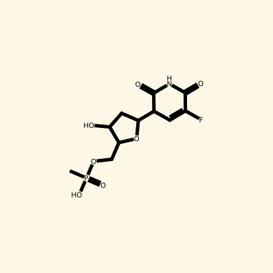 CP(=O)(O)OCC1OC(C2C=C(F)C(=O)NC2=O)CC1O